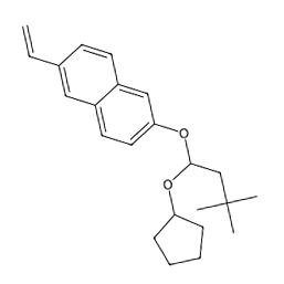 C=Cc1ccc2cc(OC(CC(C)(C)C)OC3CCCC3)ccc2c1